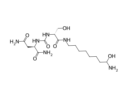 NC(=O)C[C@@H](NC(=O)N[C@H](CO)C(=O)NCCCCCCCC(N)O)C(N)=O